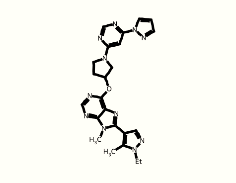 CCn1ncc(-c2nc3c(OC4CCN(c5cc(-n6cccn6)ncn5)C4)ncnc3n2C)c1C